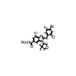 COC(=O)c1cc(F)c2nc(Cc3cc(F)c(Br)cc3Cl)n(C3COCC3(C)C)c2c1